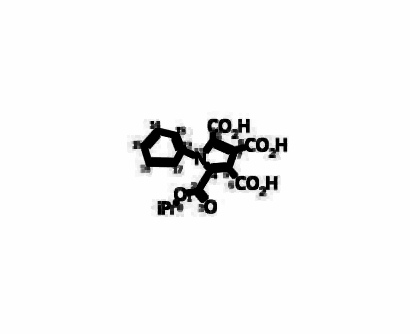 CC(C)OC(=O)c1c(C(=O)O)c(C(=O)O)c(C(=O)O)n1-c1ccccc1